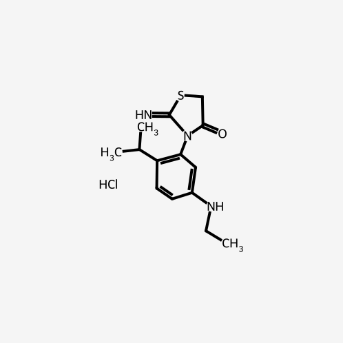 CCNc1ccc(C(C)C)c(N2C(=N)SCC2=O)c1.Cl